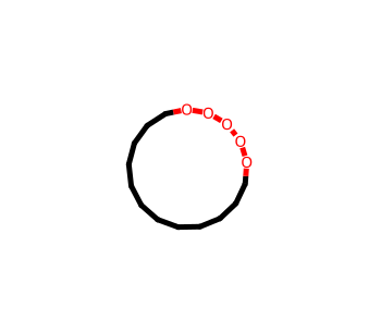 C1CCCCCCOOOOOCCCCC1